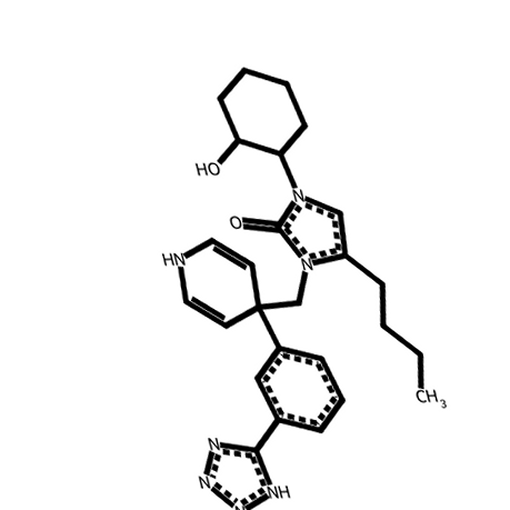 CCCCc1cn(C2CCCCC2O)c(=O)n1CC1(c2cccc(-c3nnn[nH]3)c2)C=CNC=C1